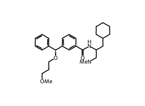 CNCC(CC1CCCCC1)NC(=O)c1cccc([C@@H](OCCCOC)c2ccccc2)c1